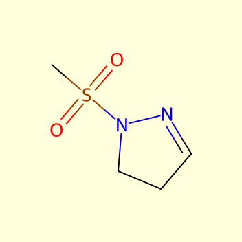 CS(=O)(=O)N1CCC=N1